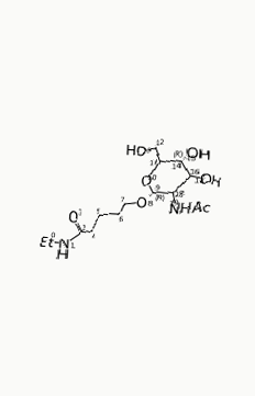 CCNC(=O)CCCCO[C@@H]1OC(CO)[C@H](O)C(O)C1NC(C)=O